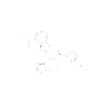 CC(C)(F)c1nnc(C(=O)N2CCc3[nH]cnc3C2c2cc3cccc(C(F)F)n3n2)o1